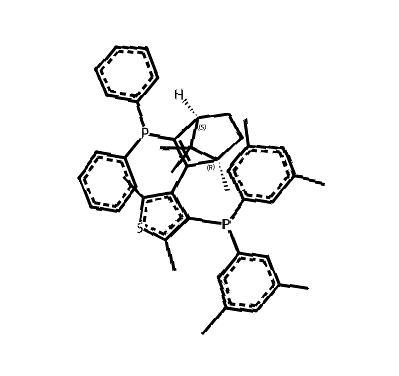 Cc1cc(C)cc(P(c2cc(C)cc(C)c2)c2c(C)sc(C)c2C2=C(P(c3ccccc3)c3ccccc3)[C@H]3CC[C@]2(C)C3(C)C)c1